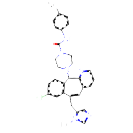 Cn1cncc1CC1=Cc2cccnc2C(N2CCN(C(=O)Nc3ccc(C#N)cc3)CC2)c2ccc(Cl)cc21